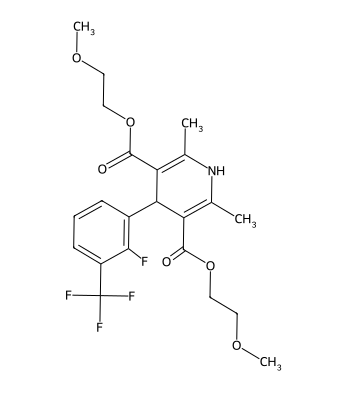 COCCOC(=O)C1=C(C)NC(C)=C(C(=O)OCCOC)C1c1cccc(C(F)(F)F)c1F